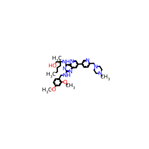 CCCC[C@](C)(CO)Nc1nc(NCc2ccc(OC)cc2OC)nc2cc(-c3ccc(CN4CCN(C)CC4)nc3)cnc12